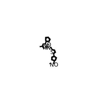 CC(C)CC(c1ccccc1)S(=O)(=O)NCc1ccc(-c2ccc(C(=O)N(C)C)cc2)s1